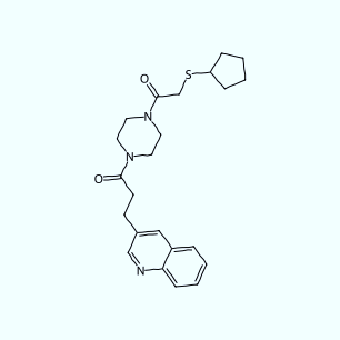 O=C(CCc1cnc2ccccc2c1)N1CCN(C(=O)CSC2CCCC2)CC1